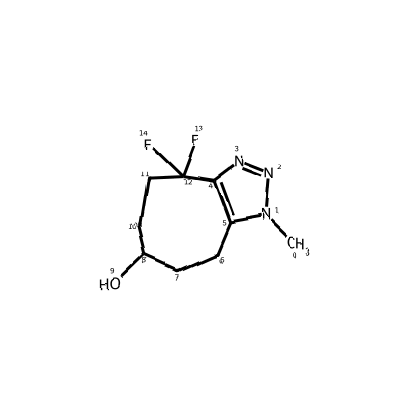 Cn1nnc2c1CCC(O)CCC2(F)F